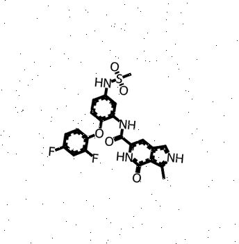 Cc1[nH]cc2cc(C(=O)Nc3cc(NS(C)(=O)=O)ccc3Oc3ccc(F)cc3F)[nH]c(=O)c12